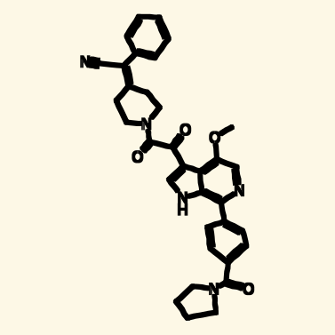 COc1cnc(-c2ccc(C(=O)N3CCCC3)cc2)c2[nH]cc(C(=O)C(=O)N3CCC(=C(C#N)c4ccccc4)CC3)c12